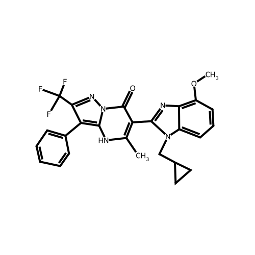 COc1cccc2c1nc(-c1c(C)[nH]c3c(-c4ccccc4)c(C(F)(F)F)nn3c1=O)n2CC1CC1